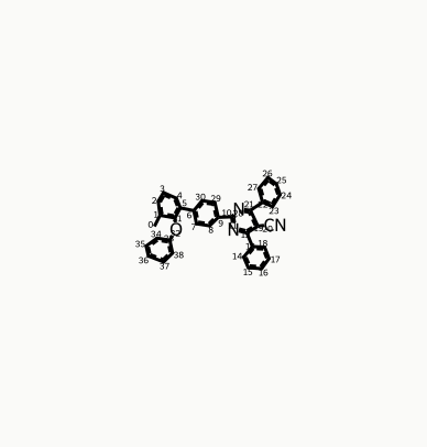 Cc1cccc(-c2ccc(-c3nc(-c4ccccc4)c(C#N)c(-c4ccccc4)n3)cc2)c1Oc1ccccc1